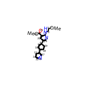 COCCNc1ncc(-c2ccc(-c3cccnc3)cc2)cc1C(=O)OC